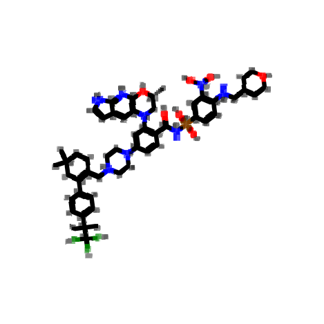 C[C@@H]1CN(c2cc(N3CCN(CC4=C(c5ccc(C(C)(C)C(F)(F)F)cc5)CC(C)(C)CC4)CC3)ccc2C(=O)NS(=O)(=O)c2ccc(NCC3CCOCC3)c([N+](=O)[O-])c2)c2cc3cc[nH]c3nc2O1